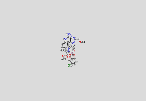 CCOCc1nc2c(N)nc3ccccc3c2n1C[C@@H](C)O[P@@](=O)(N[C@@H](C)C(=O)OC(C)C)Oc1cccc(Cl)c1